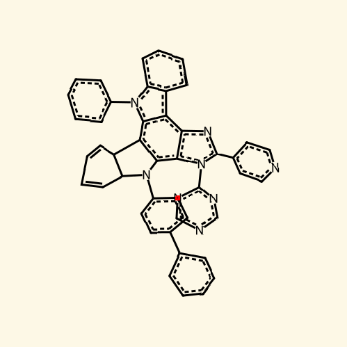 C1=CC2c3c(c4c(nc(-c5ccncc5)n4-c4ncncn4)c4c5ccccc5n(-c5ccccc5)c34)N(c3ccc(-c4ccccc4)cc3)C2C=C1